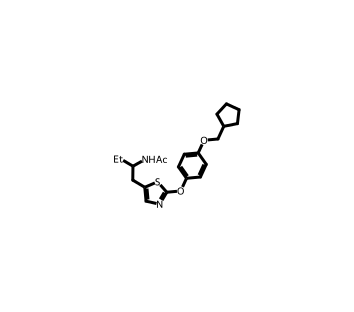 CCC(Cc1cnc(Oc2ccc(OCC3CCCC3)cc2)s1)NC(C)=O